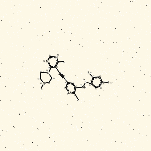 Cc1ncc(C#Cc2c(C)ncnc2N2CCN(C)CC2)cc1NSc1ccc(F)cc1F